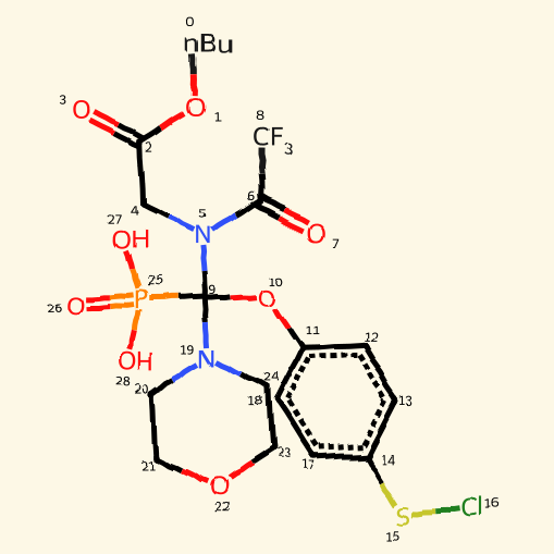 CCCCOC(=O)CN(C(=O)C(F)(F)F)C(Oc1ccc(SCl)cc1)(N1CCOCC1)P(=O)(O)O